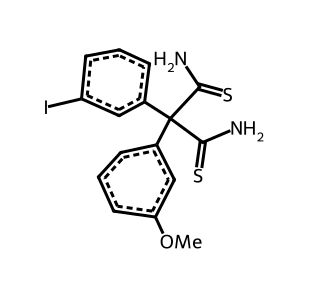 COc1cccc(C(C(N)=S)(C(N)=S)c2cccc(I)c2)c1